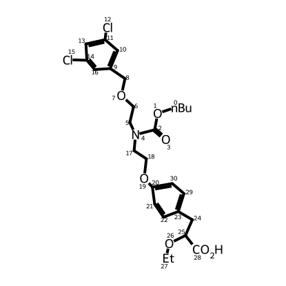 CCCCOC(=O)N(CCOCc1cc(Cl)cc(Cl)c1)CCOc1ccc(CC(OCC)C(=O)O)cc1